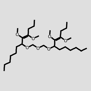 CCCCCCC(OCOCOC(CCCCCC)C(OC)=C(CCC)OC)C(OC)=C(CCC)OC